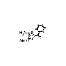 CS[C@@H]1CN(C(=O)c2ccccc2)C[C@H]1N